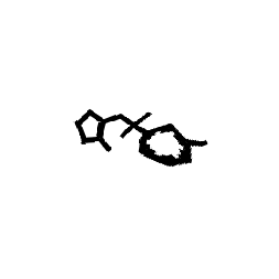 CC1=C(CC(C)(C)c2cccc(C)c2)CCC1